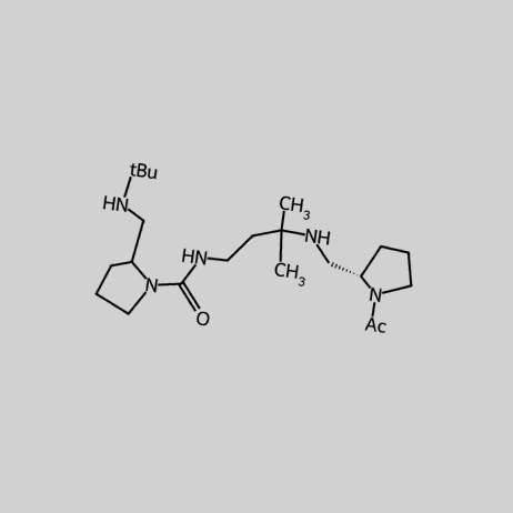 CC(=O)N1CCC[C@H]1CNC(C)(C)CCNC(=O)N1CCCC1CNC(C)(C)C